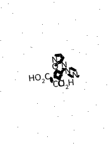 CN1CCN(C2=Nc3cccnc3Oc3ccc(Cl)cc32)CC1.O=C(O)C=CC(=O)O